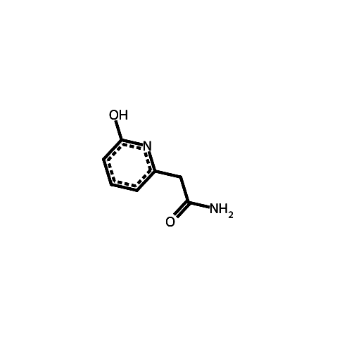 NC(=O)Cc1cccc(O)n1